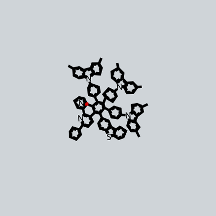 Cc1ccc2c(c1)c1cc(C)ccc1n2-c1ccc(-c2c(C#N)c(-c3ccc(-c4ccccc4)nc3-c3ccccc3)c(-c3ccc4sc5ccccc5c4c3)c(-c3ccc(-n4c5ccc(C)cc5c5cc(C)ccc54)cc3)c2-c2ccc(-n3c4ccc(C)cc4c4cc(C)ccc43)cc2)cc1